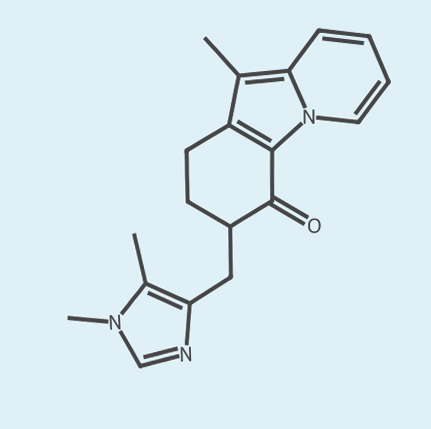 Cc1c2c(n3ccccc13)C(=O)C(Cc1ncn(C)c1C)CC2